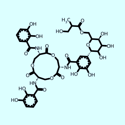 CC(CO)C(=O)OCC1O[C@@H](c2cc(O)c(O)c(C(=O)N[C@H]3COC(=O)[C@@H](NC(=O)c4cccc(O)c4O)COC(=O)[C@@H](NC(=O)c4cccc(O)c4O)COC3=O)c2)C(O)C(O)[C@@H]1O